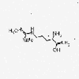 C=C(O)C(N)CCCN/C(=N/C)NC